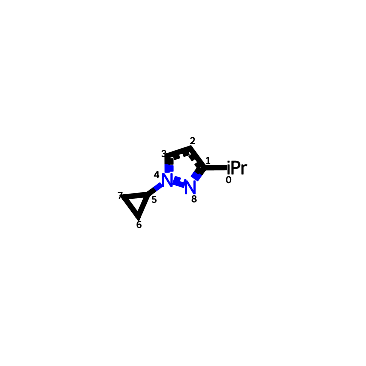 CC(C)c1ccn(C2CC2)n1